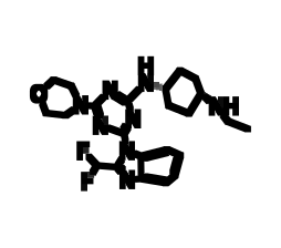 CCN[C@H]1CC[C@H](Nc2nc(N3CCOCC3)nc(-n3c(C(F)F)nc4ccccc43)n2)CC1